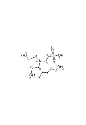 CCCCCN.O=S(=O)(O)CCN(CCO)CCO